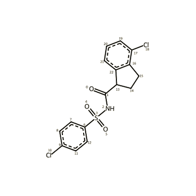 O=C(NS(=O)(=O)c1ccc(Cl)cc1)C1CCc2c(Cl)cccc21